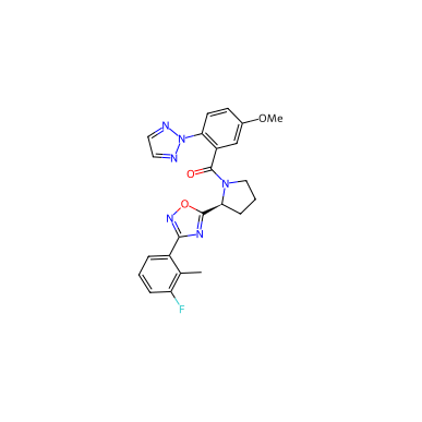 COc1ccc(-n2nccn2)c(C(=O)N2CCC[C@H]2c2nc(-c3cccc(F)c3C)no2)c1